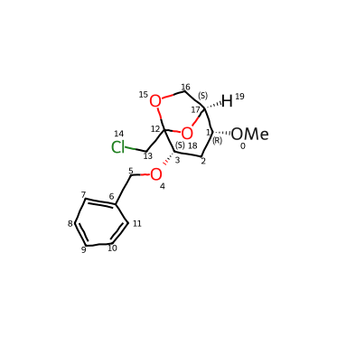 CO[C@@H]1C[C@H](OCc2ccccc2)C2(CCl)OC[C@@H]1O2